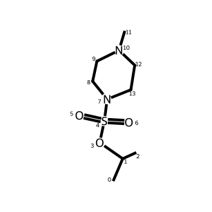 CC(C)OS(=O)(=O)N1CCN(C)CC1